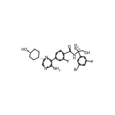 B[C@](CO)(NC(=O)c1ccc(-c2nc([C@H]3CC[C@H](O)CC3)cnc2N)cc1F)c1cc(F)cc(Br)c1